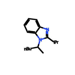 CCCCC(C)n1c(C(C)C)nc2ccccc21